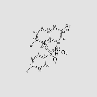 Cc1ccc(S(=O)(=O)[NH+]([O-])c2cc(Br)cc3ccc(C)nc23)cc1